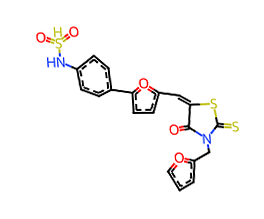 O=C1/C(=C\c2ccc(-c3ccc(N[SH](=O)=O)cc3)o2)SC(=S)N1Cc1ccco1